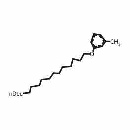 CCCCCCCCCCCCCCCCCCCCCCOc1cccc(C)c1